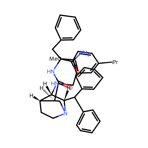 COc1ccc(C(C)C)cc1CN[C@H]1[C@H]2CCN(C[C@@H]2C(=O)NC(Cc2ccccc2)C(N)=O)[C@H]1C(c1ccccc1)c1ccccc1